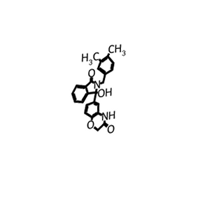 Cc1ccc(CN2C(=O)c3ccccc3C2(O)c2ccc3c(c2)NC(=O)CO3)cc1C